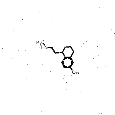 CNCCC1CCCc2cc(O)ccc21